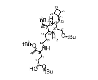 C=C(OC(C)(C)C)C(CCC(O)OC(C)(C)C)NCCCC(N)/C(=C/CCCC)NC(C=C1CCC1)CCOC(C)(C)C